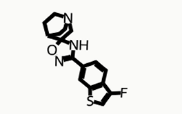 Fc1csc2cc(C3=NOC4(CN5CCC4CC5)N3)ccc12